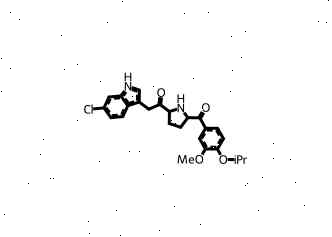 COc1cc(C(=O)C2CCC(C(=O)Cc3c[nH]c4cc(Cl)ccc34)N2)ccc1OC(C)C